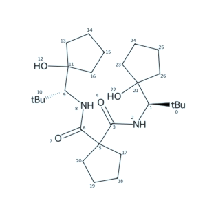 CC(C)(C)[C@@H](NC(=O)C1(C(=O)N[C@H](C(C)(C)C)C2(O)CCCC2)CCCC1)C1(O)CCCC1